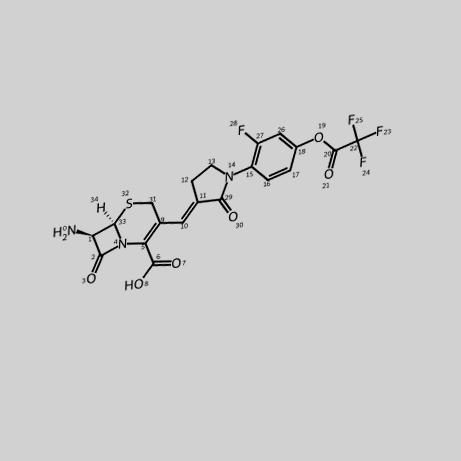 N[C@@H]1C(=O)N2C(C(=O)O)=C(/C=C3\CCN(c4ccc(OC(=O)C(F)(F)F)cc4F)C3=O)CS[C@H]12